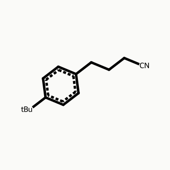 CC(C)(C)c1ccc(CCCC#N)cc1